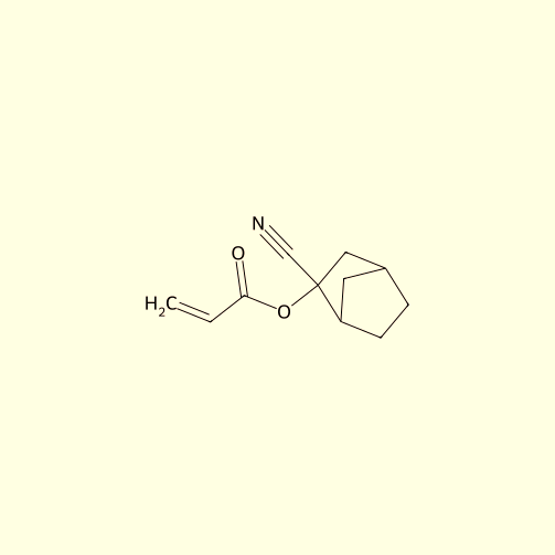 C=CC(=O)OC1(C#N)CC2CCC1C2